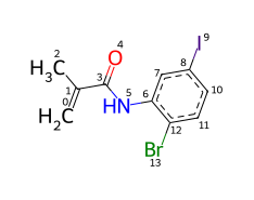 C=C(C)C(=O)Nc1cc(I)ccc1Br